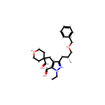 CCn1nc(C[C@@H](C)COCc2ccccc2)c(CC2(C=O)CCOCC2)c1C=O